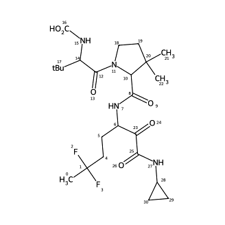 CC(F)(F)CCC(NC(=O)C1N(C(=O)C(NC(=O)O)C(C)(C)C)CCC1(C)C)C(=O)C(=O)NC1CC1